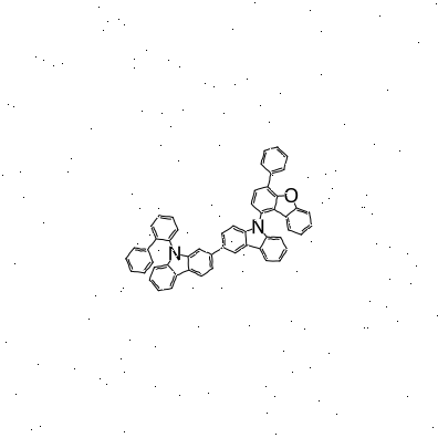 c1ccc(-c2ccccc2-n2c3ccccc3c3ccc(-c4ccc5c(c4)c4ccccc4n5-c4ccc(-c5ccccc5)c5oc6ccccc6c45)cc32)cc1